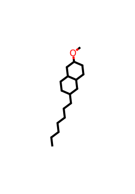 CCCCCCCC1CCC2CC(OC)CCC2C1